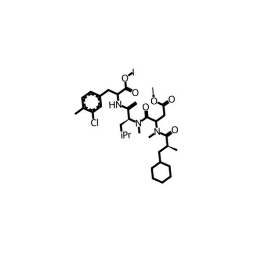 C=C(NC(Cc1ccc(C)c(Cl)c1)C(=O)OI)[C@H](CC(C)C)N(C)C(=O)C(CC(=O)OI)N(C)C(=O)[C@@H](C)CC1CCCCC1